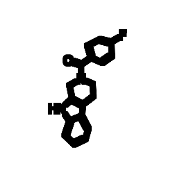 O=C(c1ccc(F)cc1)N1CCc2c([nH]c3ccccc23)C1